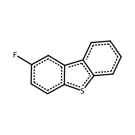 Fc1ccc2sc3ccccc3c2c1